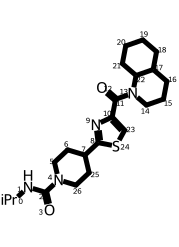 CC(C)NC(=O)N1CCC(c2nc(C(=O)N3CCCC4CCCCC43)cs2)CC1